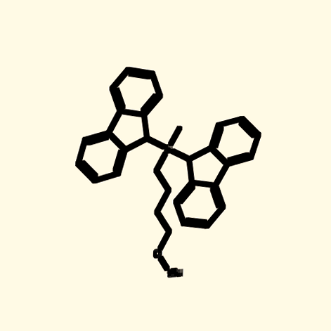 CC(C)(C)OCCCC[Si](C)(C1c2ccccc2-c2ccccc21)C1c2ccccc2-c2ccccc21